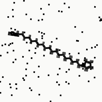 CCCCCCCCCCCCCCCCCCCCCCCCCCCCn1cccc1